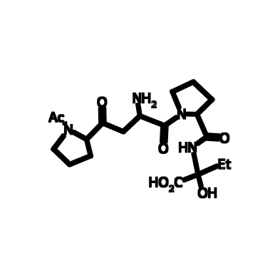 CCC(O)(NC(=O)C1CCCN1C(=O)C(N)CC(=O)C1CCCN1C(C)=O)C(=O)O